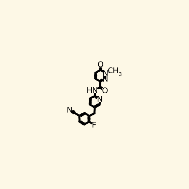 Cn1nc(C(=O)Nc2ccc(Cc3cc(C#N)ccc3F)cn2)ccc1=O